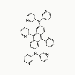 c1ccc(-c2c3ccc(N(c4cccnc4)c4cccnc4)cc3c(-c3ccccn3)c3ccc(N(c4cccnc4)c4cccnc4)cc23)nc1